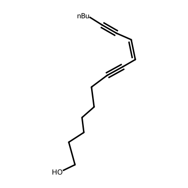 CCCCC#C/C=C\C#CCCCCCCO